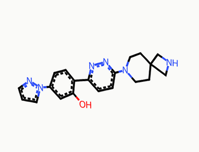 Oc1cc(-n2cccn2)ccc1-c1ccc(N2CCC3(CC2)CNC3)nn1